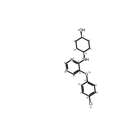 O[C@H]1CC[C@@H](Nc2ncncc2Oc2ccc(Cl)cc2)CC1